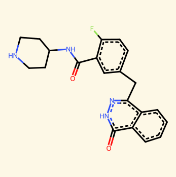 O=C(NC1CCNCC1)c1cc(Cc2n[nH]c(=O)c3ccccc23)ccc1F